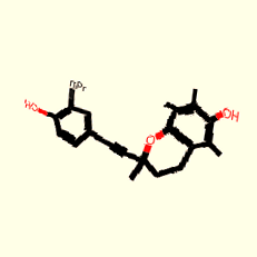 CCCc1cc(C#CC2(C)CCc3c(C)c(O)c(C)c(C)c3O2)ccc1O